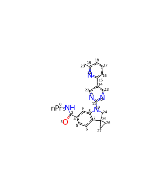 CCCNC(=O)c1ccc2c(c1)N(c1ncc(-c3cccc(C)n3)cn1)CC21CC1